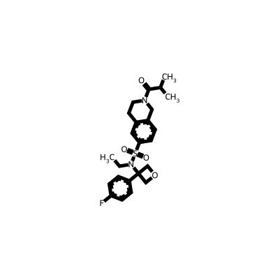 CCN(C1(c2ccc(F)cc2)COC1)S(=O)(=O)c1ccc2c(c1)CCN(C(=O)C(C)C)C2